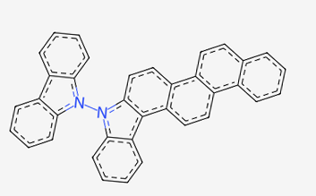 c1ccc2c(c1)ccc1c2ccc2c1ccc1c2c2ccccc2n1-n1c2ccccc2c2ccccc21